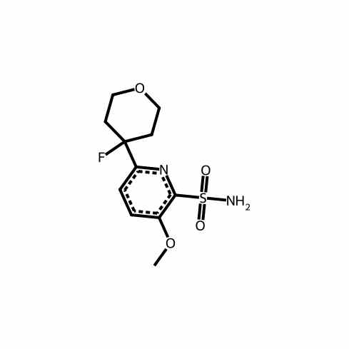 COc1ccc(C2(F)CCOCC2)nc1S(N)(=O)=O